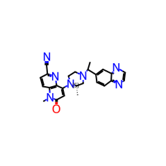 CC(c1ccc2nccnc2c1)N1CCN(c2cc(=O)n(C)c3ccc(C#N)nc23)[C@@H](C)C1